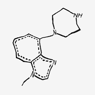 Cn1cnc2c(N3CCNCC3)cccc21